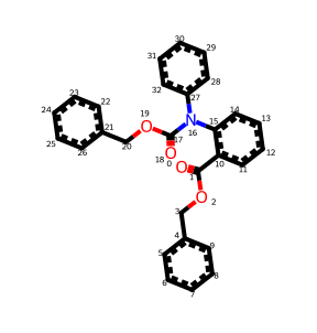 O=C(OCc1ccccc1)c1ccccc1N(C(=O)OCc1ccccc1)c1ccccc1